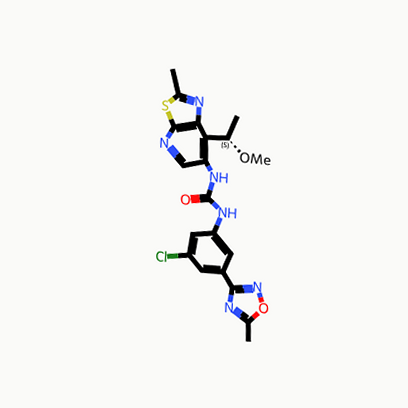 CO[C@@H](C)c1c(NC(=O)Nc2cc(Cl)cc(-c3noc(C)n3)c2)cnc2sc(C)nc12